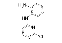 Nc1ccccc1Nc1ccnc(Cl)n1